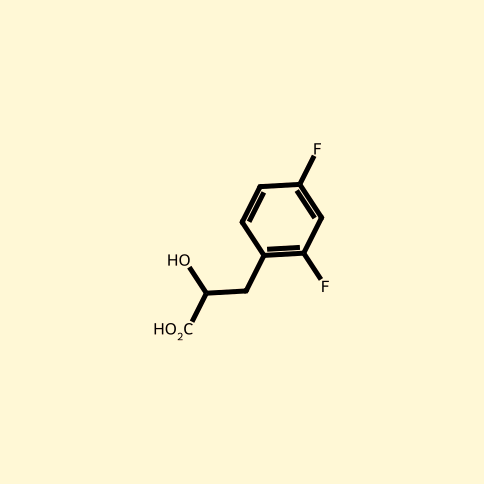 O=C(O)C(O)Cc1ccc(F)cc1F